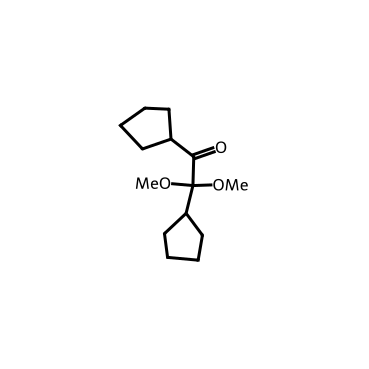 COC(OC)(C(=O)C1CCCC1)C1CCCC1